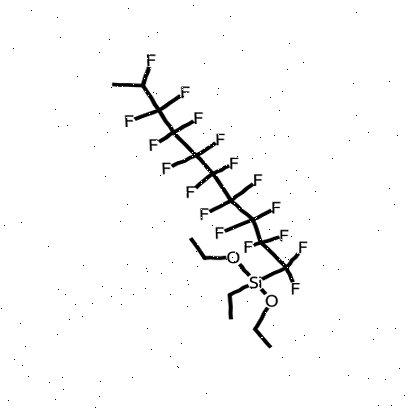 CCO[Si](CC)(OCC)C(F)(F)C(F)(F)C(F)(F)C(F)(F)C(F)(F)C(F)(F)C(F)(F)C(F)(F)C(C)F